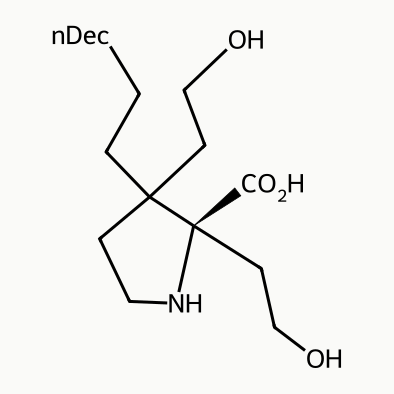 CCCCCCCCCCCCC1(CCO)CCN[C@]1(CCO)C(=O)O